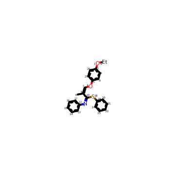 CCOc1ccc(OC=C(C)C(=Nc2ccccc2)Sc2ccccc2)cc1